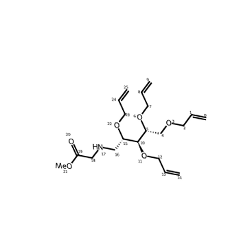 C=CCOC[C@@H](OCC=C)[C@@H](OCC=C)[C@H](CNCC(=O)OC)OCC=C